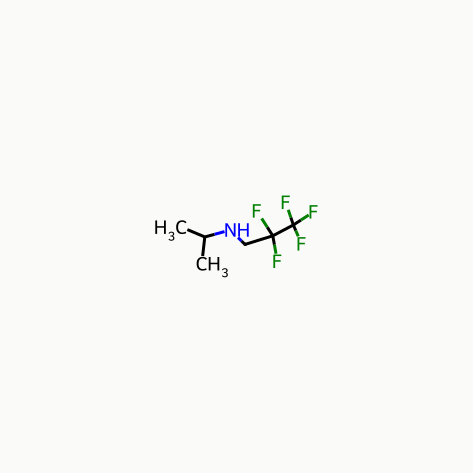 CC(C)NCC(F)(F)C(F)(F)F